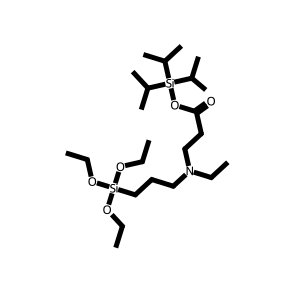 CCO[Si](CCCN(CC)CCC(=O)O[Si](C(C)C)(C(C)C)C(C)C)(OCC)OCC